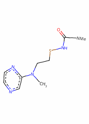 CNC(=O)NSCCN(C)c1cnccn1